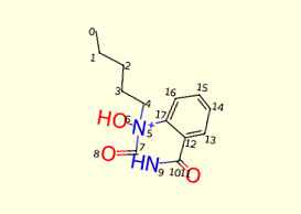 CCCCC[N+]1(O)C(=O)NC(=O)c2ccccc21